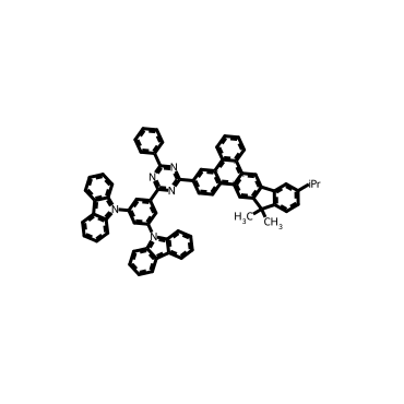 CC(C)c1ccc2c(c1)-c1cc3c4ccccc4c4cc(-c5nc(-c6ccccc6)nc(-c6cc(-n7c8ccccc8c8ccccc87)cc(-n7c8ccccc8c8ccccc87)c6)n5)ccc4c3cc1C2(C)C